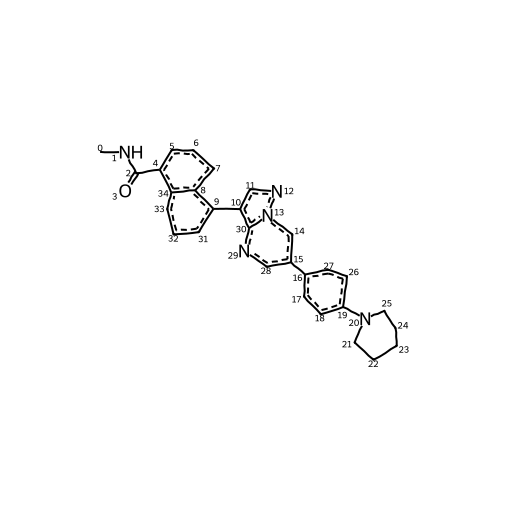 CNC(=O)c1cccc2c(-c3cnn4cc(-c5ccc(N6CCCCC6)cc5)cnc34)cccc12